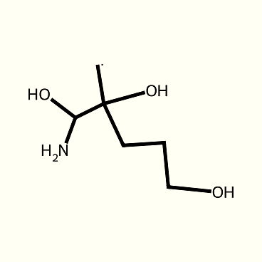 [CH2]C(O)(CCCO)C(N)O